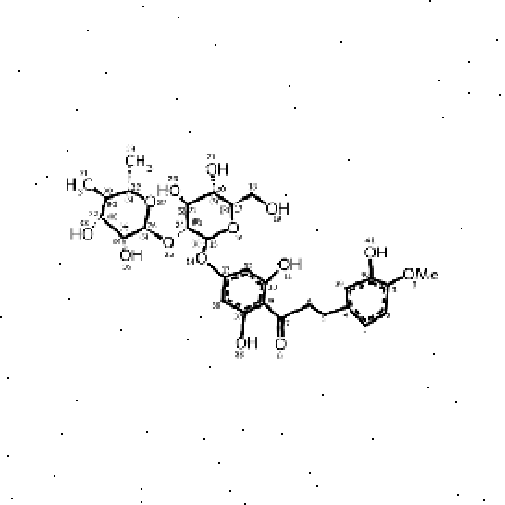 COc1ccc(CCC(=O)c2c(O)cc(O[C@@H]3O[C@H](CO)[C@@H](O)[C@H](O)[C@H]3O[C@@H]3O[C@@H](C)[C@H](C)[C@@H](O)[C@H]3O)cc2O)cc1O